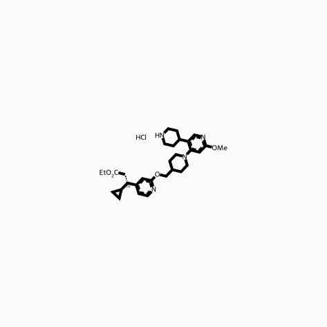 CCOC(=O)C[C@H](c1ccnc(OCC2CCN(c3cc(OC)ncc3C3CCNCC3)CC2)c1)C1CC1.Cl